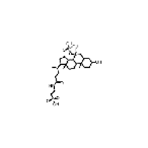 CC(CCC(=O)NCCS(=O)(=O)O)C1CCC2C3C(CCC12C)C1(C)CCC(O)CC1CC3(F)OP(=O)(O)O